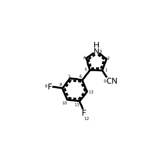 N#Cc1c[nH]cc1-c1cc(F)cc(F)c1